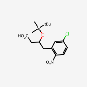 CC(C)(C)[Si](C)(C)OC(CC(=O)O)Cc1cc(Cl)ccc1[N+](=O)[O-]